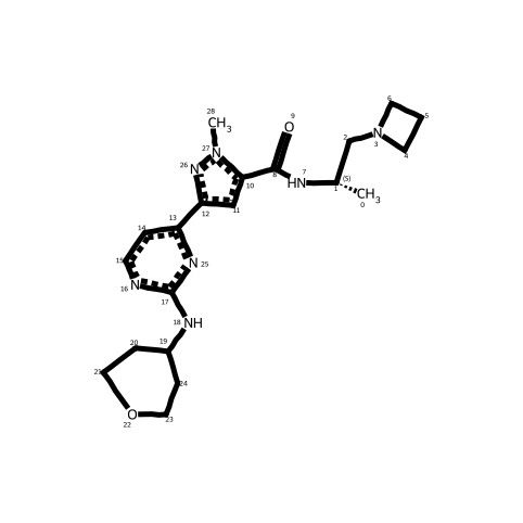 C[C@@H](CN1CCC1)NC(=O)c1cc(-c2ccnc(NC3CCOCC3)n2)nn1C